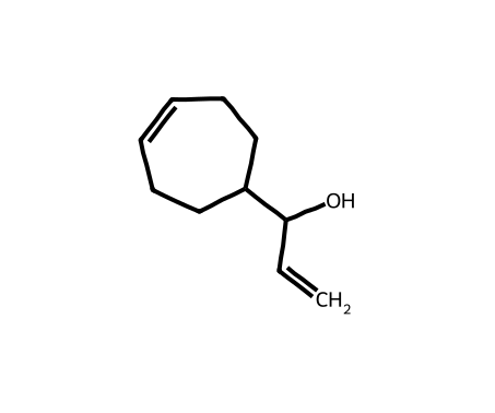 C=CC(O)C1CCC=CCC1